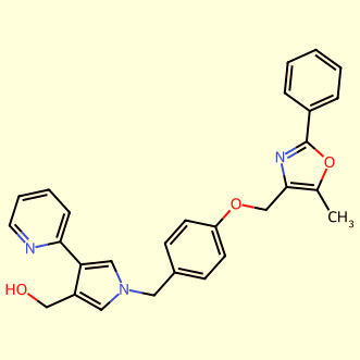 Cc1oc(-c2ccccc2)nc1COc1ccc(Cn2cc(CO)c(-c3ccccn3)c2)cc1